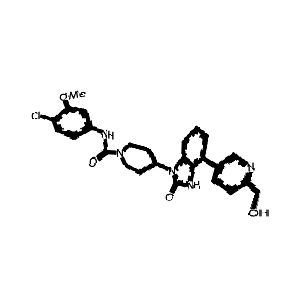 COc1cc(NC(=O)N2CCC(n3c(=O)[nH]c4c(-c5ccc(CO)nc5)cccc43)CC2)ccc1Cl